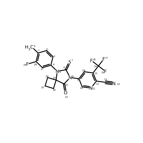 Cc1ccc(N2C(=S)N(c3cnc(C#N)c(C(F)(F)F)c3)C(=O)C23CCC3)cc1F